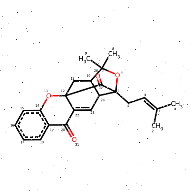 CC(C)=CCC12OC(C)(C)C3CC4(Oc5ccccc5C(=O)C4=CC31)C2=O